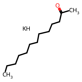 CCCCCCCCCCCC(C)=O.[KH]